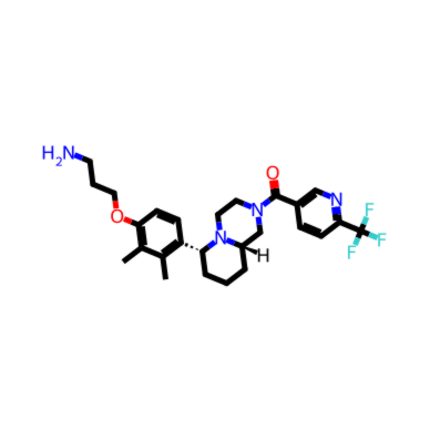 Cc1c(OCCCN)ccc([C@H]2CCC[C@H]3CN(C(=O)c4ccc(C(F)(F)F)nc4)CCN32)c1C